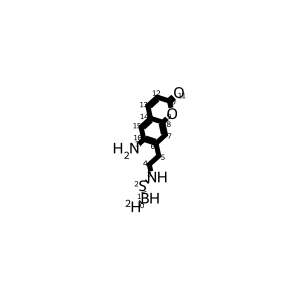 [2H]BSNCCc1cc2oc(=O)ccc2cc1N